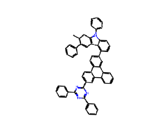 CC1Cc2c(c3c(-c4ccc5c6ccc(-c7nc(-c8ccccc8)nc(-c8ccccc8)n7)cc6c6ccccc6c5c4)cccc3n2-c2ccccc2)C=C1c1ccccc1